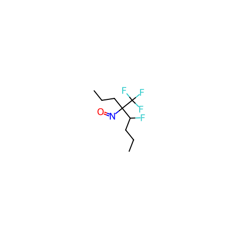 CCCC(F)C(CCC)(N=O)C(F)(F)F